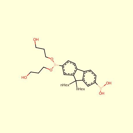 CCCCCCC1(CCCCCC)c2cc(B(O)O)ccc2-c2ccc(B(OCCCO)OCCCO)cc21